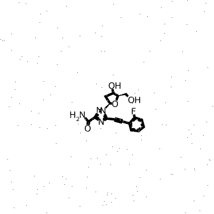 NC(=O)c1nc(C#Cc2ccccc2F)n([C@H]2CC(O)[C@@H](CO)O2)n1